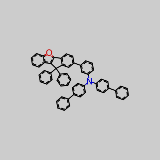 c1ccc(-c2ccc(N(c3ccc(-c4ccccc4)cc3)c3cccc(-c4ccc5c(c4)C(c4ccccc4)(c4ccccc4)c4c-5oc5ccccc45)c3)cc2)cc1